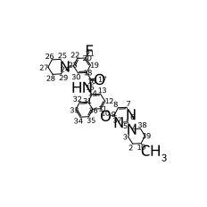 CC1CCN(c2nccc(Oc3ccc(NC(=O)c4cc(F)cc(N5CCCCC5)c4)c4ccccc34)n2)CC1